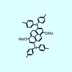 COc1cc(N(c2ccc(C)cc2)c2ccc(C)cc2)c2c3c4c(ccc13)C(N(c1ccc(C)cc1)c1ccc(C)cc1)=CC(OC)C4=CC2